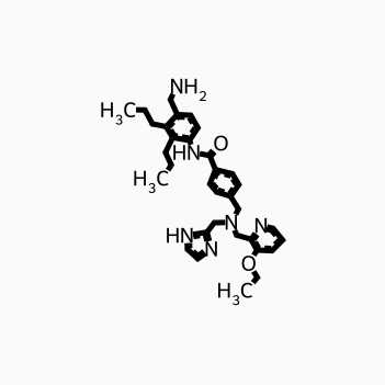 CCCc1c(CN)ccc(NC(=O)c2ccc(CN(Cc3ncc[nH]3)Cc3ncccc3OCC)cc2)c1CCC